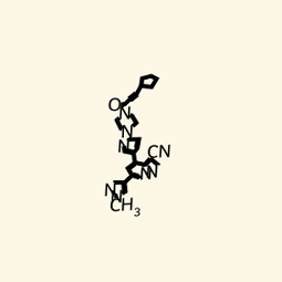 Cn1cc(-c2cc(-c3ccc(N4CCN(C(=O)C#CC5CCCC5)CC4)nc3)c3c(C#N)cnn3c2)cn1